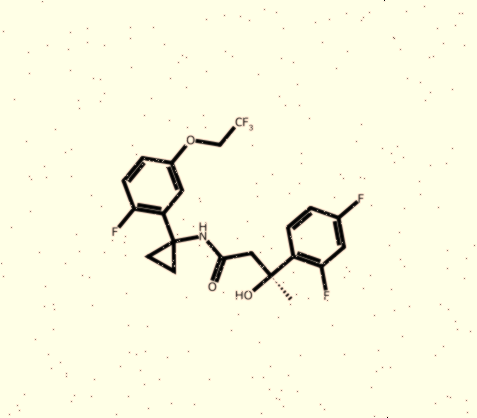 C[C@](O)(CC(=O)NC1(c2cc(OCC(F)(F)F)ccc2F)CC1)c1ccc(F)cc1F